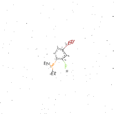 CCP(CC)c1ccc(Br)cc1F